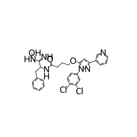 N=C(NO)C(Cc1ccccc1)NC(=O)CCCOc1cc(-c2cccnc2)nn1-c1ccc(Cl)c(Cl)c1